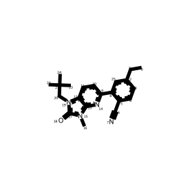 CCc1ccc(C#N)c(-c2ccc3c(n2)n(C)c(=O)n3CC(C)(C)C)c1